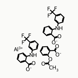 CC(=O)Oc1ccccc1C(=O)[O-].O=C([O-])c1ccccc1Nc1cccc(C(F)(F)F)c1.O=C([O-])c1ccccc1Nc1cccc(C(F)(F)F)c1.[Al+3]